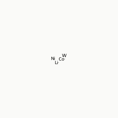 [Co].[Li].[Ni].[W]